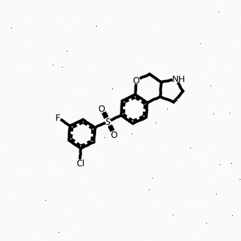 O=S(=O)(c1cc(F)cc(Cl)c1)c1ccc2c(c1)OCC1NCCC21